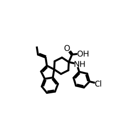 C/C=C/C1=Cc2ccccc2C12CCC(Nc1cccc(Cl)c1)(C(=O)O)CC2